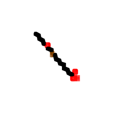 CCCCCOCCSCCCCCCCCC(=O)O